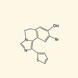 Oc1cc2c(cc1Br)-c1c(-c3cccs3)ncn1CC2